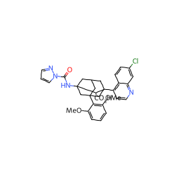 COc1cccc(OC)c1C12CC3CC(NC(=O)n4cccn4)(C1)C(C(=O)O)C(c1ccnc4cc(Cl)ccc14)(C3)C2